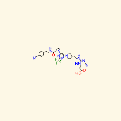 N#C/N=C(\NCCC(=O)O)NCCC1CCN(c2cc(N3CCC3C(=O)NCCc3ccc(C#N)cc3)nc(C(F)(F)F)n2)CC1